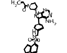 C=CC(=O)N1CCC[C@@H](n2nc(-c3ccc(CNS(=O)(=O)c4cccc5c4CCC5)cc3)c3c(N)ncnc32)C1